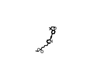 CCOC(=O)CCCCc1ccc(C#Cc2ccc3c(c2)C(C)(C)CCO3)nc1